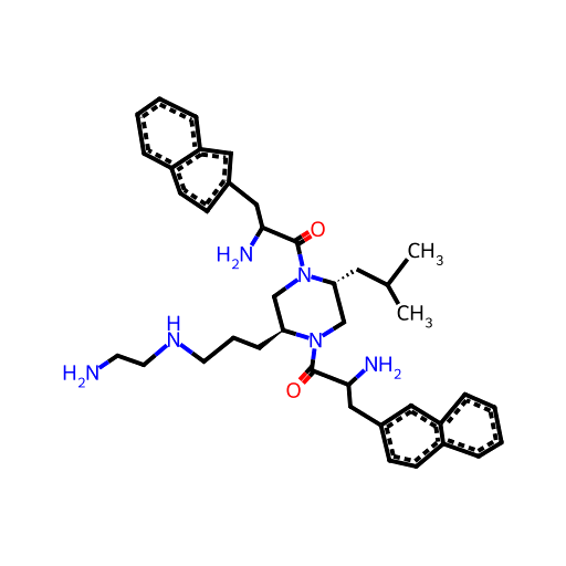 CC(C)C[C@@H]1CN(C(=O)C(N)Cc2ccc3ccccc3c2)[C@@H](CCCNCCN)CN1C(=O)C(N)Cc1ccc2ccccc2c1